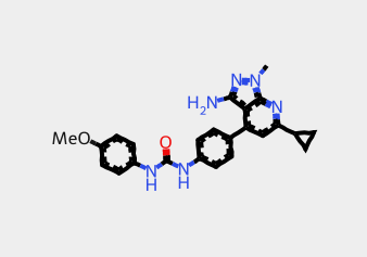 COc1ccc(NC(=O)Nc2ccc(-c3cc(C4CC4)nc4c3c(N)nn4C)cc2)cc1